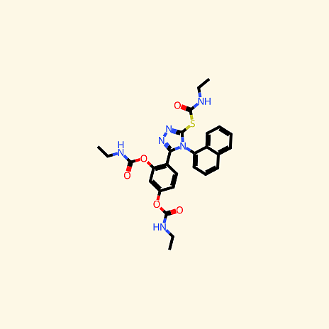 CCNC(=O)Oc1ccc(-c2nnc(SC(=O)NCC)n2-c2cccc3ccccc23)c(OC(=O)NCC)c1